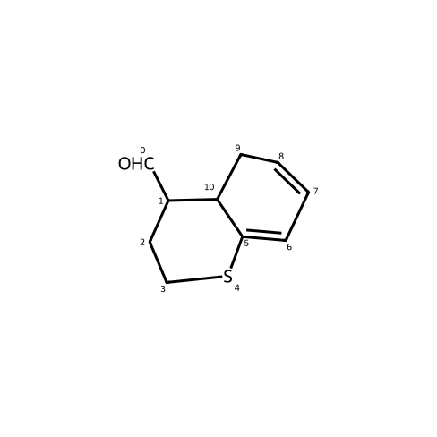 O=CC1CCSC2=CC=CCC21